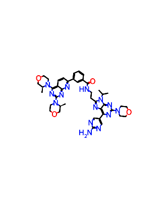 CC(C)n1c(CCNC(=O)c2cccc(-c3ccc4c(N5CCOC[C@@H]5C)nc(N5CCOC[C@@H]5C)nc4n3)c2)nc2c(-c3cnc(N)nc3)nc(N3CCOCC3)nc21